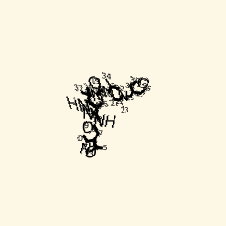 Cc1noc(C)c1CC(=O)Nc1n[nH]c2c1CN(C(=O)N1C[C@@H](C)N(CC3CCOCC3)C[C@@H]1C)C2(C)C